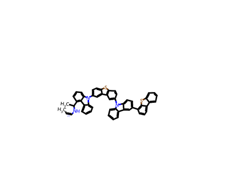 C/C=C\NC(C)c1cccc2c1c1ccccc1n2-c1ccc2sc3ccc(-n4c5ccccc5c5cc(-c6cccc7c6sc6ccccc67)ccc54)cc3c2c1